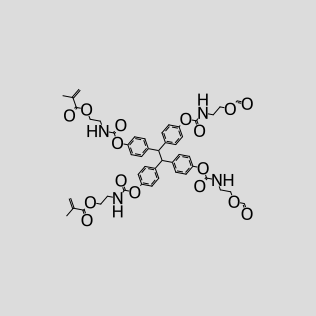 C=C(C)C(=O)OCCNC(=O)Oc1ccc(C(c2ccc(OC(=O)NCCOC=O)cc2)C(c2ccc(OC(=O)NCCOC=O)cc2)c2ccc(OC(=O)NCCOC(=O)C(=C)C)cc2)cc1